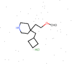 Cl.O=COCCC1(CC2CCC2)CCNCC1